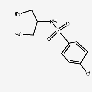 CC(C)CC(CO)NS(=O)(=O)c1ccc(Cl)cc1